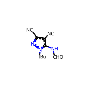 [C-]#[N+]c1c(C#N)nn(C(C)(C)C)c1NC=O